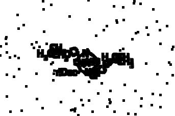 CCCCCCCCCCCC1=c2ccc([nH]2)=C(c2cccc(OCCC[N+](C)(C)C)c2)C2=NC(=Cc3ccc([nH]3)C(Cl)(c3cccc(OCCC[N+](C)(C)C)c3)C3(Cl)C=CC1=N3)C=C2